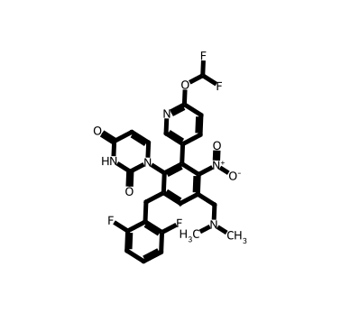 CN(C)Cc1[c]c(Cc2c(F)cccc2F)c(-n2ccc(=O)[nH]c2=O)c(-c2ccc(OC(F)F)nc2)c1[N+](=O)[O-]